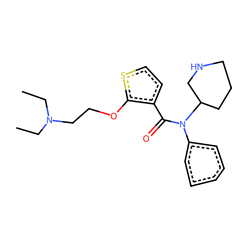 CCN(CC)CCOc1sccc1C(=O)N(c1ccccc1)C1CCCNC1